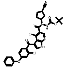 CC(C)(C)OC(=O)NN(C(=O)c1cnc2[nH]cc(C(=O)c3ccc(Oc4ccccc4)cc3Cl)c2c1Cl)C1CCC(C#N)C1